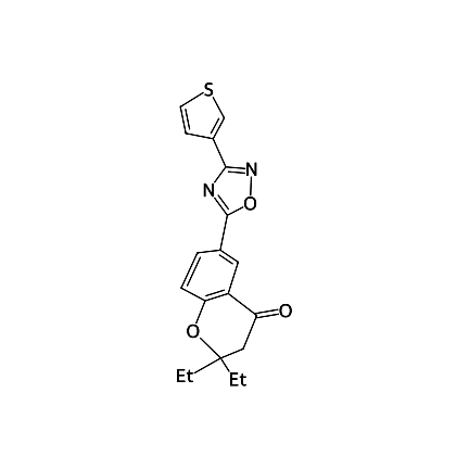 CCC1(CC)CC(=O)c2cc(-c3nc(-c4ccsc4)no3)ccc2O1